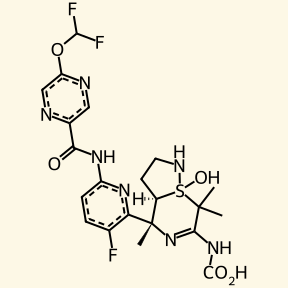 CC1(C)C(NC(=O)O)=N[C@](C)(c2nc(NC(=O)c3cnc(OC(F)F)cn3)ccc2F)[C@H]2CCNS21O